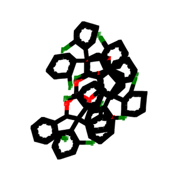 Fc1ccccc1C(OB(OC(c1ccccc1F)C(c1ccccc1F)(c1ccccc1F)c1ccccc1F)OC(c1ccccc1F)C(c1ccccc1F)(c1ccccc1F)c1ccccc1F)C(c1ccccc1F)(c1ccccc1F)c1ccccc1F